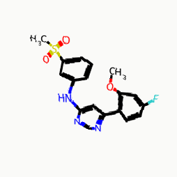 COc1cc(F)ccc1-c1cc(Nc2cccc(S(C)(=O)=O)c2)ncn1